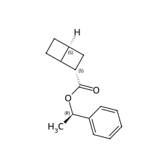 C[C@@H](OC(=O)[C@H]1C[C@@H]2CCC21)c1ccccc1